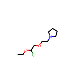 CCOC(Cl)COCCN1CCCC1